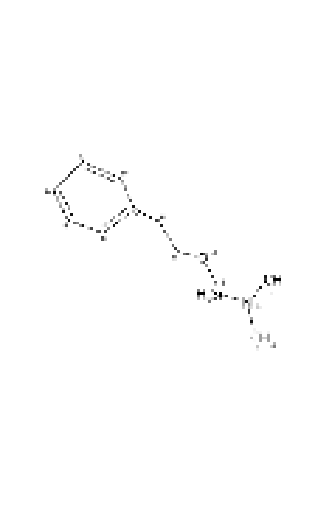 CN(C)[SiH2]OCCc1ccccc1